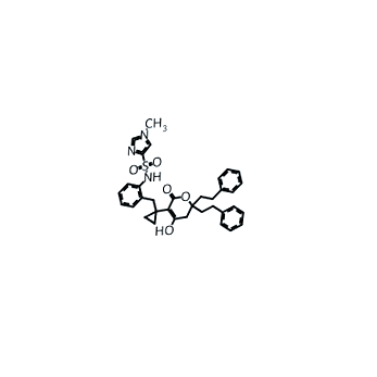 Cn1cnc(S(=O)(=O)Nc2ccccc2CC2(C3=C(O)CC(CCc4ccccc4)(CCc4ccccc4)OC3=O)CC2)c1